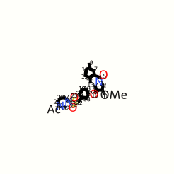 COC1CN(C(=O)c2cc(C)ccc2C)CC1Oc1cccc(CS(=O)(=O)N2CCCN(C(C)=O)C2)c1